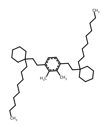 CCCCCCCCCC1(CCc2ccc(CCC3(CCCCCCCCC)CCCCC3)c(C)c2C)CCCCC1